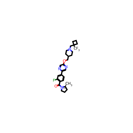 C[C@H]1CCCN1C(=O)c1ccc(-c2cnc(OCC3CCN(CC4(C(F)(F)F)CCC4)CC3)cn2)cc1F